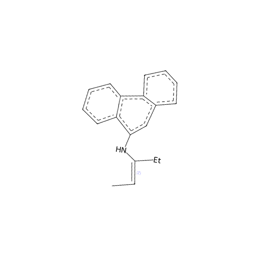 C/C=C(/CC)Nc1cc2ccccc2c2ccccc12